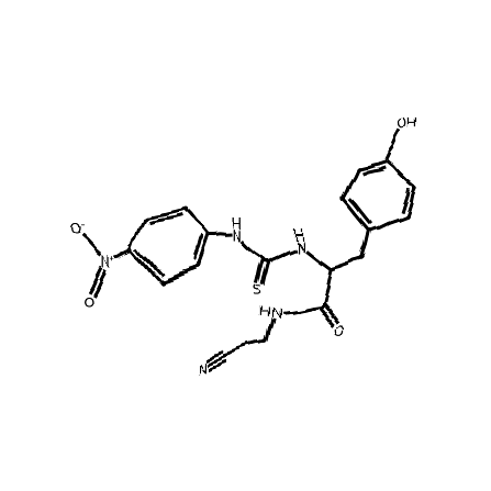 N#CCNC(=O)C(Cc1ccc(O)cc1)NC(=S)Nc1ccc([N+](=O)[O-])cc1